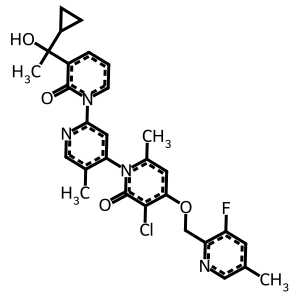 Cc1cnc(COc2cc(C)n(-c3cc(-n4cccc(C(C)(O)C5CC5)c4=O)ncc3C)c(=O)c2Cl)c(F)c1